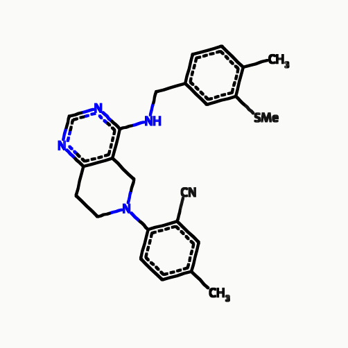 CSc1cc(CNc2ncnc3c2CN(c2ccc(C)cc2C#N)CC3)ccc1C